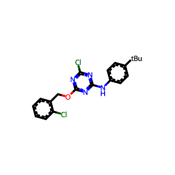 CC(C)(C)c1ccc(Nc2nc(Cl)nc(OCc3ccccc3Cl)n2)cc1